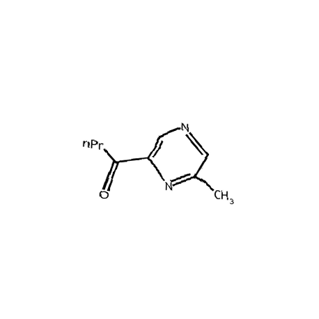 CCCC(=O)c1cncc(C)n1